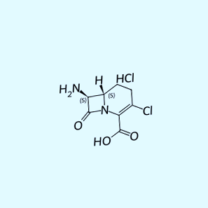 Cl.N[C@@H]1C(=O)N2C(C(=O)O)=C(Cl)CC[C@@H]12